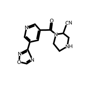 N#CC1CNCCN1C(=O)c1cncc(-c2ncon2)c1